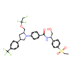 CCS(=O)(=O)c1ccc([C@H](CO)NC(=O)c2ccc(N3CC(c4ccc(C(F)(F)F)cc4)C[C@H]3COC(F)(F)CF)cc2)cc1